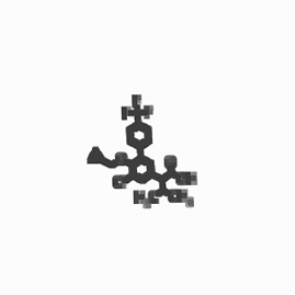 CC(C)C(C(=O)O)c1cc(Cl)c(OCC2CC2)c(-c2ccc(C(F)(F)F)cc2)c1